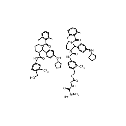 Cc1cccc(F)c1C(=O)N1CCCC(C(=O)Nc2ccc(CO)c(C(F)(F)F)c2)C1c1ccc(NC2CCCC2)cc1.Cc1cccc(F)c1C(=O)N1CCC[C@H](C(=O)Nc2ccc(COC(=O)CNC(=O)[C@H](N)C(C)C)c(C(F)(F)F)c2)C1c1ccc(NC2CCCC2)cc1